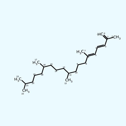 [CH]=C(C)/C=C/C=C(\C)CCCC(C)CCCC(C)CCCC(C)C